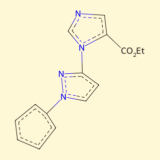 CCOC(=O)c1cncn1-c1ccn(-c2ccccc2)n1